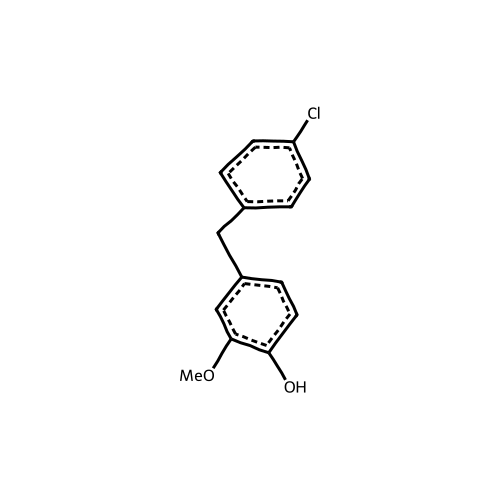 COc1cc(Cc2ccc(Cl)cc2)ccc1O